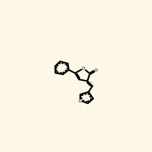 O=C1OC(c2ccccc2)=C/C1=C\c1ccoc1